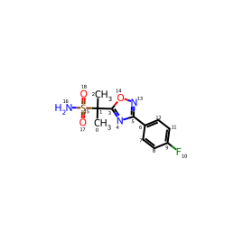 CC(C)(c1nc(-c2ccc(F)cc2)no1)S(N)(=O)=O